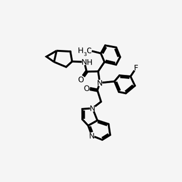 Cc1ccccc1C(C(=O)NC1CC2CC2C1)N(C(=O)Cn1ccc2ncccc21)c1cccc(F)c1